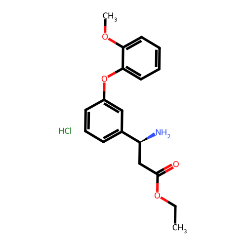 CCOC(=O)C[C@H](N)c1cccc(Oc2ccccc2OC)c1.Cl